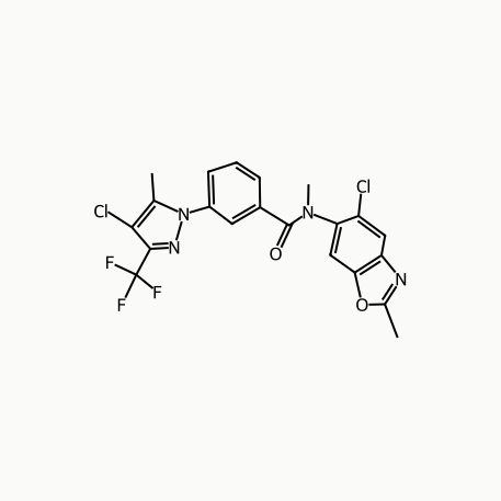 Cc1nc2cc(Cl)c(N(C)C(=O)c3cccc(-n4nc(C(F)(F)F)c(Cl)c4C)c3)cc2o1